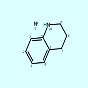 [N].c1ccc2c(c1)CCCN2